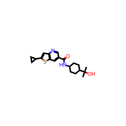 CC(C)(O)C1CCC(NC(=O)c2cnc3cc(C4CC4)sc3c2)CC1